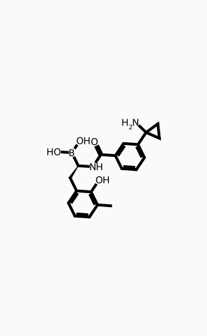 Cc1cccc(C[C@H](NC(=O)c2cccc(C3(N)CC3)c2)B(O)O)c1O